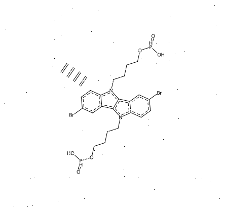 C=C.C=C.C=C.C=C.O=[PH](O)OCCCCn1c2ccc(Br)cc2c2c1c1cc(Br)ccc1n2CCCCO[PH](=O)O